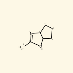 CC1=NC2CCCC2O1